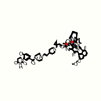 COCOc1cc(-c2ncc3c(N4CC5CCC(C4)N5C(=O)OC(C)(C)C)nc(OCC4(CN5CCC(CCN6CCN(C(=O)c7ccc(Cl)c(N8CCC(=O)NC8=O)c7)CC6)CC5)CC4)nc3c2F)c2c(C#C[Si](C(C)C)(C(C)C)C(C)C)c(F)ccc2c1